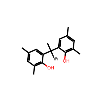 Cc1cc(C)c(O)c(C(C)(c2cc(C)cc(C)c2O)C(C)C)c1